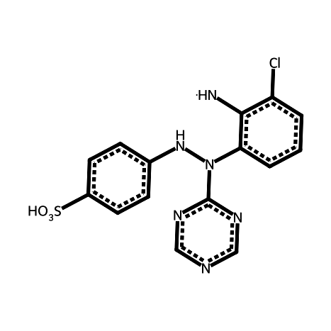 [NH]c1c(Cl)cccc1N(Nc1ccc(S(=O)(=O)O)cc1)c1ncncn1